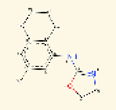 Cc1cc2c(c(NC3=NCCO3)c1)CCCC2